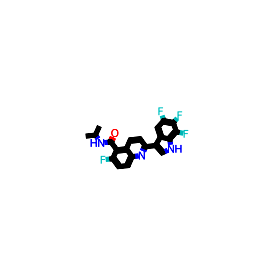 CC(C)NC(=O)c1c(F)ccc2nc(-c3c[nH]c4c(F)c(F)c(F)cc34)ccc12